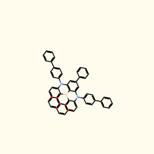 c1ccc(-c2ccc(N3c4cccc(-c5ccccc5)c4B4c5c(-c6ccccc6)cccc5N(c5ccc(-c6ccccc6)cc5)c5cc(-c6ccccc6)cc3c54)cc2)cc1